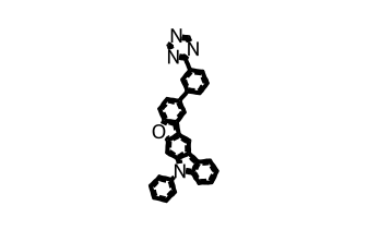 c1ccc(-n2c3ccccc3c3cc4c(cc32)oc2ccc(-c3cccc(-c5ncncn5)c3)cc24)cc1